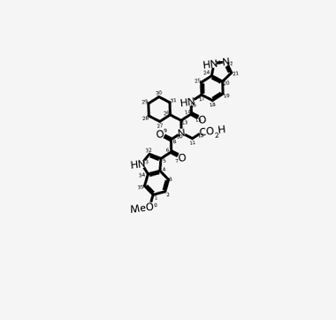 COc1ccc2c(C(=O)C(=O)N(CC(=O)O)C(C(=O)Nc3ccc4cn[nH]c4c3)C3CCCCC3)c[nH]c2c1